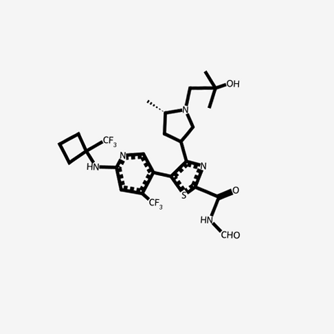 C[C@H]1CC(c2nc(C(=O)NC=O)sc2-c2cnc(NC3(C(F)(F)F)CCC3)cc2C(F)(F)F)CN1CC(C)(C)O